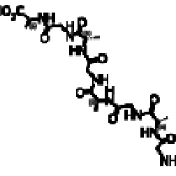 C[C@H](NC(=O)CNC(=O)[C@H](C)NC(=O)CNC(=O)[C@H](C)NC(=O)CNC(=O)[C@H](C)NC(=O)CN)C(=O)O